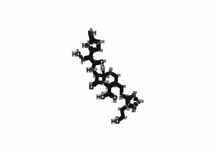 N=c1[nH]c(C(=NO)C(=O)NC2C(=O)N3C(C(=O)O)=C(CSc4nnnn4CCO)CS[C@@H]23)cs1